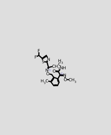 CNC(=O)/C(=N/OC)c1cccc(C)c1CO/N=C(\C)c1ncc(C(F)F)s1